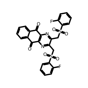 O=C1c2ccccc2C(=O)c2nc(CS(=O)(=O)c3ccccc3F)c(CS(=O)(=O)c3ccccc3F)nc21